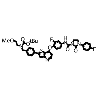 COCCN(Cc1ccc(-c2cc3nccc(Oc4ccc(NC(=O)N5CCN(c6ccc(F)cc6)C5=O)cc4F)c3s2)cc1)C(=O)OC(C)(C)C